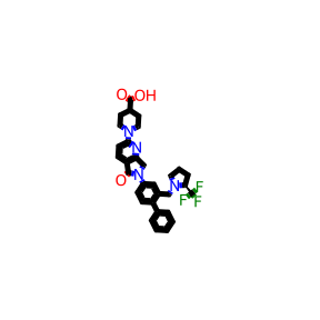 O=C(O)C1CCN(c2ccc3c(n2)CN(c2ccc(-c4ccccc4)c(CN4CCC[C@H]4C(F)(F)F)c2)C3=O)CC1